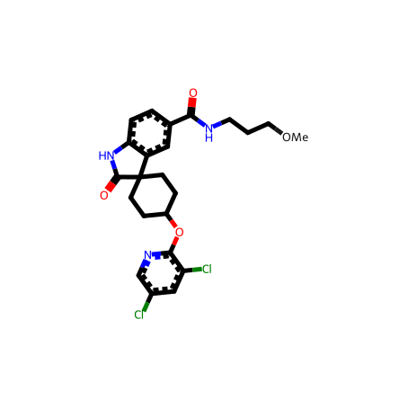 COCCCNC(=O)c1ccc2c(c1)C1(CCC(Oc3ncc(Cl)cc3Cl)CC1)C(=O)N2